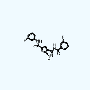 O=C(Nc1n[nH]c2sc(C(=O)Nc3cccc(F)c3)cc12)c1cccc(F)c1